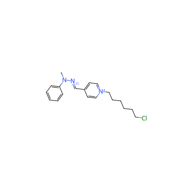 CN(/N=C/c1cc[n+](CCCCCCCl)cc1)c1ccccc1